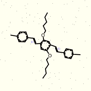 CCCCCOc1cc(/C=C/c2ccc(C)cc2)c(OCCCCC)cc1/C=C/c1ccc(C)cc1